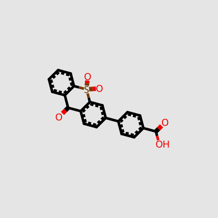 O=C(O)c1ccc(-c2ccc3c(c2)S(=O)(=O)c2ccccc2C3=O)cc1